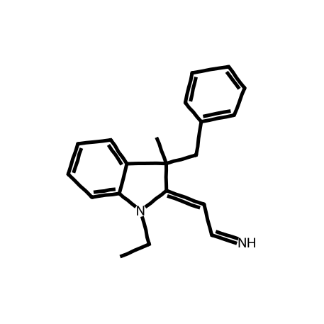 CCN1/C(=C\C=N)C(C)(Cc2ccccc2)c2ccccc21